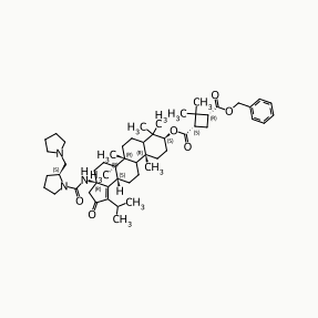 CC(C)C1=C2[C@H]3CCC4[C@@]5(C)CC[C@H](OC(=O)[C@H]6C[C@@H](C(=O)OCc7ccccc7)C6(C)C)C(C)(C)C5CC[C@@]4(C)[C@]3(C)CC[C@@]2(NC(=O)N2CCC[C@H]2CN2CCCC2)CC1=O